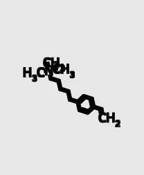 C=Cc1ccc(CCCCC[N+](C)(C)C)cc1